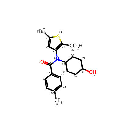 CC(C)(C)c1cc(N(C(=O)c2ccc(C(F)(F)F)cc2)C2CCC(O)CC2)c(C(=O)O)s1